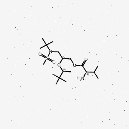 CC(C)[C@@H](N)C(=O)OC[C@H](CN(C(C)(C)C)S(C)(=O)=O)O[C@@H](C)C(C)(C)C